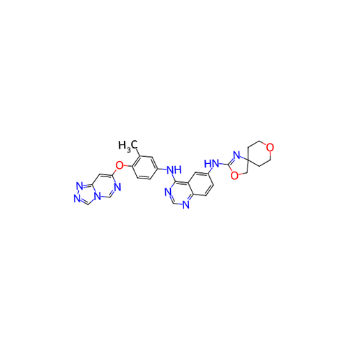 Cc1cc(Nc2ncnc3ccc(NC4=NC5(CCOCC5)CO4)cc23)ccc1Oc1cc2nncn2cn1